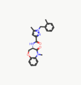 Cc1ccccc1Cn1nc(C(=O)N[C@H]2COc3ccccc3N(C)C2=O)cc1C